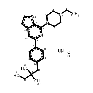 CCN1CCN(c2nc(-c3ccc(CC(C)(C)CO)cc3)cc3ccsc23)CC1.Cl.Cl